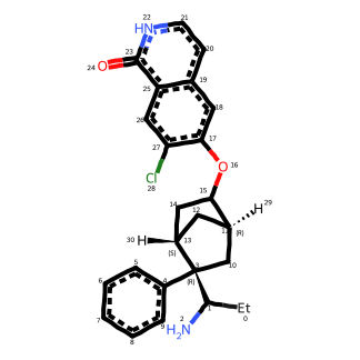 CCC(N)[C@]1(c2ccccc2)C[C@H]2C[C@H]1CC2Oc1cc2cc[nH]c(=O)c2cc1Cl